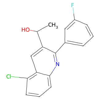 CC(O)c1cc2c(Cl)cccc2nc1-c1cccc(F)c1